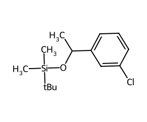 CC(O[Si](C)(C)C(C)(C)C)c1cccc(Cl)c1